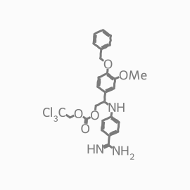 COc1cc(C(COC(=O)OCC(Cl)(Cl)Cl)Nc2ccc(C(=N)N)cc2)ccc1OCc1ccccc1